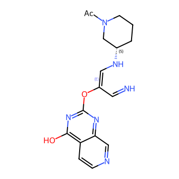 CC(=O)N1CCC[C@H](N/C=C(\C=N)Oc2nc(O)c3ccncc3n2)C1